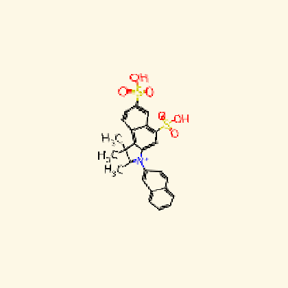 CC1=[N+](c2ccc3ccccc3c2)c2cc(S(=O)(=O)O)c3cc(S(=O)(=O)O)ccc3c2C1(C)C